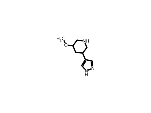 COC1CNCC(c2cn[nH]c2)C1